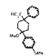 COC1(c2ccc(SC)cc2)CCC(C(=O)O)(c2ccccc2)CC1